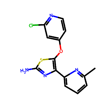 Cc1cccc(-c2nc(N)sc2Oc2ccnc(Cl)c2)n1